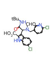 CC(C)(C)NC(=O)C(c1c(C(=O)O)[nH]c2cc(Cl)ccc12)N(C=O)Cc1ccc(Cl)nc1